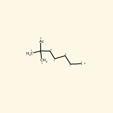 CC(=O)C(C)(C)CCCCI